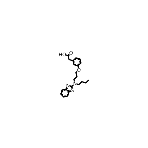 CCCCN(CCCOc1cccc(CC(=O)O)c1)c1nc2ccccc2s1